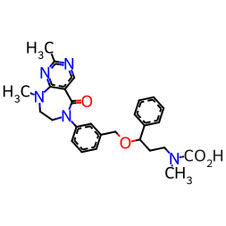 Cc1ncc2c(n1)N(C)CCN(c1cccc(COC(CCN(C)C(=O)O)c3ccccc3)c1)C2=O